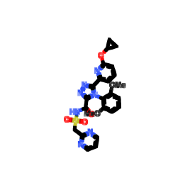 COc1cccc(OC)c1-n1c(C(=O)NS(=O)(=O)Cc2ncccn2)nnc1-c1cccc(OC2CC2)n1